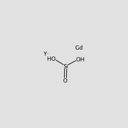 O=[Si](O)O.[Gd].[Y]